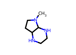 CN1CCC2NCCNC21